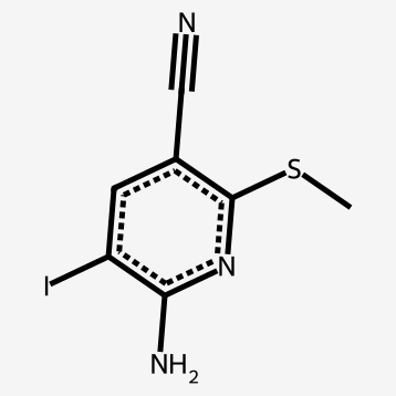 CSc1nc(N)c(I)cc1C#N